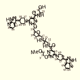 COC[C@@H](C)Oc1nc(C(=O)N[C@@H](C)C(C)(C)NCC2CCC(COc3nc(C(=O)N[C@H](C)CO)cc(N4CCC(c5n[nH]c6ncccc56)CC4)n3)O2)cc(N2CCC(c3n[nH]c4ncccc34)CC2)n1